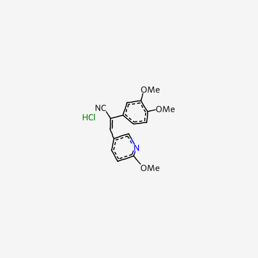 COc1ccc(C=C(C#N)c2ccc(OC)c(OC)c2)cn1.Cl